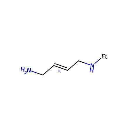 CCNC/C=C/CN